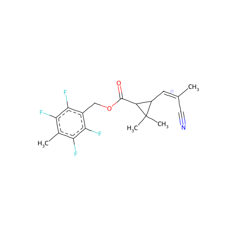 C/C(C#N)=C/C1C(C(=O)OCc2c(F)c(F)c(C)c(F)c2F)C1(C)C